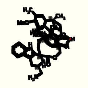 COC1=C(O)C2(C)C3[C@@H]4[C@@H]5SC[C@]6(N[C@@H](CN)Cc7c6[nH]c6ccccc76)C(=O)OC[C@@H](c6c7c(c(C)c(OC(C)=O)c65)OCO7)N4C4(O)CN3[C@](C)(C4)C2C=C1C